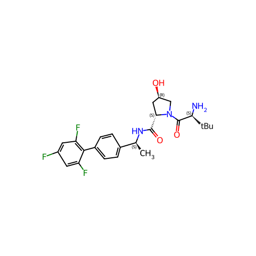 C[C@H](NC(=O)[C@@H]1C[C@@H](O)CN1C(=O)[C@@H](N)C(C)(C)C)c1ccc(-c2c(F)cc(F)cc2F)cc1